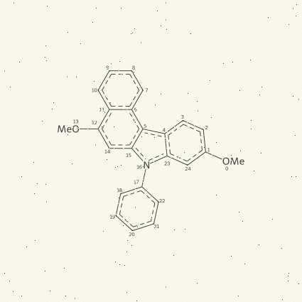 COc1ccc2c3c4ccccc4c(OC)cc3n(-c3ccccc3)c2c1